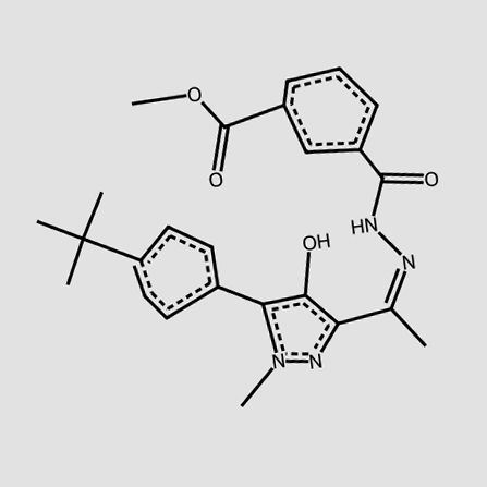 COC(=O)c1cccc(C(=O)NN=C(C)c2nn(C)c(-c3ccc(C(C)(C)C)cc3)c2O)c1